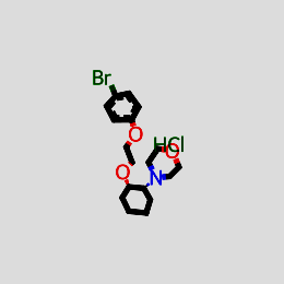 Brc1ccc(OCCO[C@@H]2CCCC[C@H]2N2CCOCC2)cc1.Cl